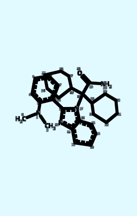 CN(C)c1ccccc1-c1nc2ccccc2n1C(C(N)=O)(C1CCCCC1)C1CCCCC1